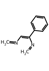 C=N/C=C(\N=C)c1ccccc1